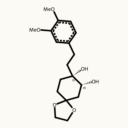 COc1ccc(CC[C@]2(O)CCC3(C[C@H]2O)OCCO3)cc1OC